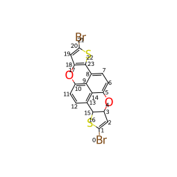 BrC1=CC2Oc3ccc4c5c(ccc(c35)C2S1)Oc1cc(Br)sc1-4